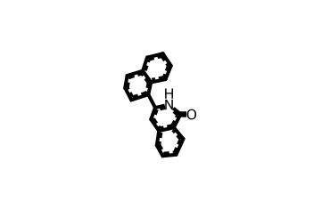 O=c1[nH]c(-c2cccc3ccccc23)cc2ccccc12